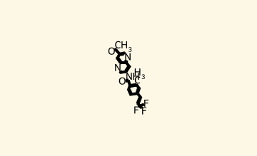 CC(=O)c1cnc2cc(NC(=O)c3ccc(C=CC(F)(F)F)cc3C)cnc2c1